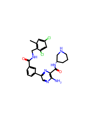 Cc1cc(Cl)cc(Cl)c1CNC(=O)c1cccc(-c2cnc(N)c(C(=O)N[C@H]3CCCNC3)n2)c1